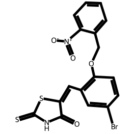 O=C1NC(=S)SC1=Cc1cc(Br)ccc1OCc1ccccc1[N+](=O)[O-]